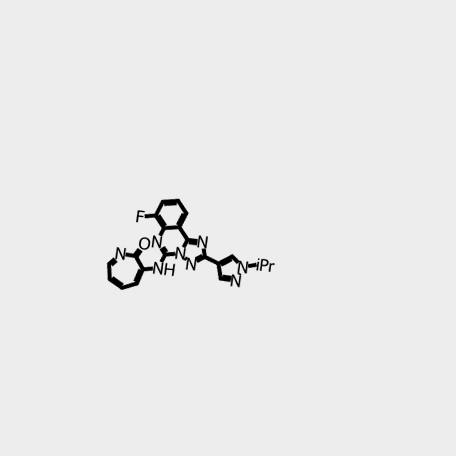 CC(C)n1cc(-c2nc3c4cccc(F)c4nc(Nc4ccccnc4=O)n3n2)cn1